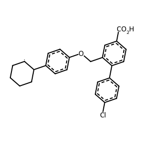 O=C(O)c1ccc(-c2ccc(Cl)cc2)c(COc2ccc(C3[CH]CCCC3)cc2)c1